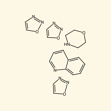 C1COCCN1.c1ccc2ncccc2c1.c1conn1.c1conn1.c1conn1